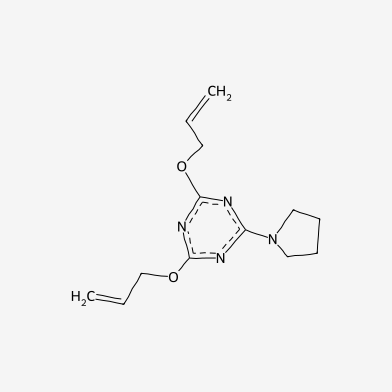 C=CCOc1nc(OCC=C)nc(N2CCCC2)n1